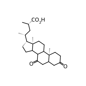 C[C@H](C[C@H](C)C(=O)O)[C@H]1CCC2C3C(=O)CC4CC(=O)CC[C@]4(C)C3CC[C@@]21C